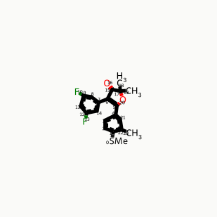 CSc1ccc(C2=C(c3cc(F)cc(F)c3)C(=O)C(C)(C)O2)cc1C